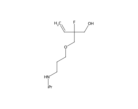 C=CC(F)(CO)COCCCNC(C)C